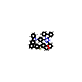 c1ccc(-c2nc(-c3ccccc3-c3ccccc3)nc(-c3ccc(-n4c5ccccc5c5cc6ccccc6cc54)cc3-c3cc4ccccc4c4sc5ccccc5c34)n2)cc1